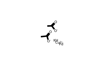 CC(=O)[O-].CC(=O)[O-].[Cu+2].[KH].[Pd]